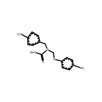 COC(=O)N(COc1ccc(N)cc1)Cc1ccc(N)cc1